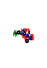 CC=C[C@@H]1[C@@H](N2C(=O)OC[C@@H]2c2ccccc2)C(=O)N1[C@H](CC(=O)O)C(=O)NCc1cccc(C(F)(F)F)c1